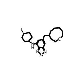 I[C@H]1CC[C@@H](Nc2cc(CC3CCCCCCCC3)cc3nonc23)CC1